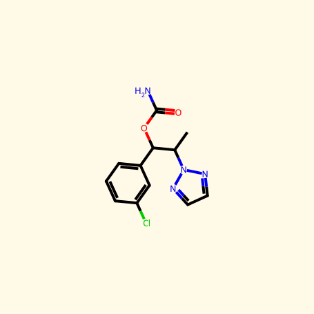 CC(C(OC(N)=O)c1cccc(Cl)c1)n1nccn1